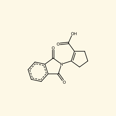 O=C(O)C1=C(N2C(=O)c3ccccc3C2=O)CCC1